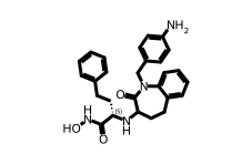 Nc1ccc(CN2C(=O)C(N[C@@H](CCc3ccccc3)C(=O)NO)CCc3ccccc32)cc1